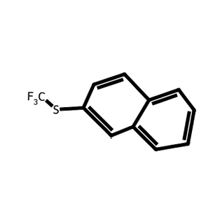 FC(F)(F)Sc1[c]c2ccccc2cc1